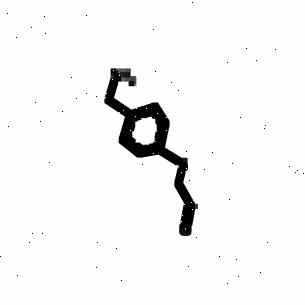 NCc1ccc(SC[C]=O)cc1